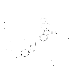 Cc1ccc(S(=O)(=O)/C=C/c2ccc3[nH]cc(C[C@H]4CCCN4C)c3c2)cc1